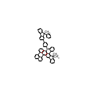 CC1(C)c2ccccc2-c2cccc(-c3ccccc3N(c3ccc(-c4ccc5c(c4)C(C)(c4ccccc4)c4ccccc4-5)cc3)c3ccc(-c4cccc5cccc(-c6ccccc6)c45)cc3)c21